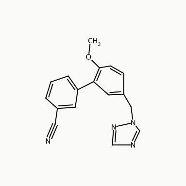 COc1ccc(Cn2cncn2)cc1-c1cccc(C#N)c1